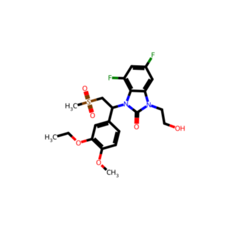 CCOc1cc(C(CS(C)(=O)=O)n2c(=O)n(CCO)c3cc(F)cc(F)c32)ccc1OC